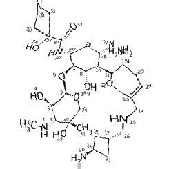 CN[C@@H]1[C@@H](O)[C@@H](O[C@@H]2[C@@H](O)[C@H](C3OC(CNC[C@H]4C[C@H](N)C4)=CC[C@H]3N)[C@@H](N)C[C@H]2NC(=O)C2(O)CNC2)OC[C@]1(C)O